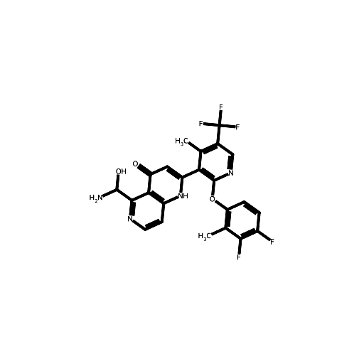 Cc1c(Oc2ncc(C(F)(F)F)c(C)c2-c2cc(=O)c3c(C(N)O)nccc3[nH]2)ccc(F)c1F